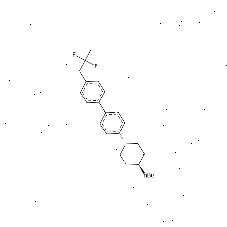 CCCC[C@H]1CC[C@H](c2ccc(-c3ccc(CC(C)(F)F)cc3)cc2)CC1